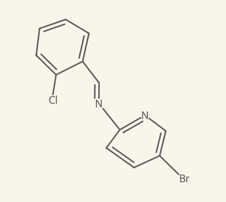 Clc1ccccc1/C=N/c1ccc(Br)cn1